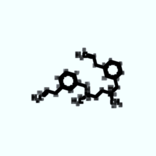 C=CCc1cccc(C[SiH](C)CC[SiH](C)Cc2cccc(CC=C)c2)c1